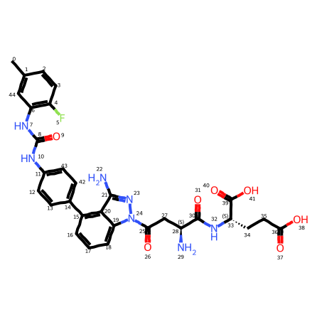 Cc1ccc(F)c(NC(=O)Nc2ccc(-c3cccc4c3c(N)nn4C(=O)C[C@H](N)C(=O)N[C@@H](CCC(=O)O)C(=O)O)cc2)c1